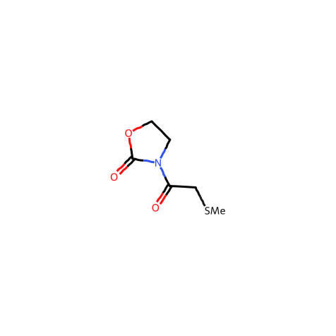 CSCC(=O)N1CCOC1=O